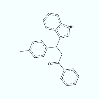 Cc1ccc(C(CC(=O)c2ccccc2)c2c[nH]c3ccccc23)cc1